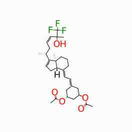 CC(=O)O[C@@H]1CC(=C/C=C2\CCC[C@]3(C)C([C@H](C)C/C=C\C(C)(O)C(F)(F)F)=CC[C@@H]23)C[C@@H](OC(C)=O)C1